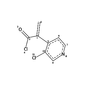 C=C(C(=O)Cl)c1ccncc1Cl